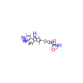 Cc1c(-c2[nH]c3sc(C4CC5(C4)CN(C(=O)[C@H]4COCCN4)C5)c(C)c3c2C(C)C)cn2ncnc2c1C